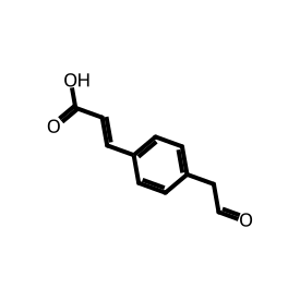 O=CCc1ccc(/C=C/C(=O)O)cc1